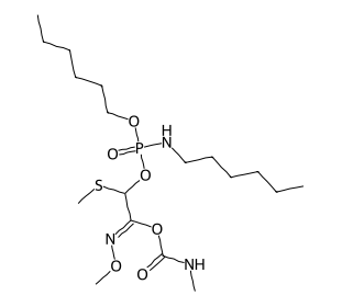 CCCCCCNP(=O)(OCCCCCC)OC(SC)C(=NOC)OC(=O)NC